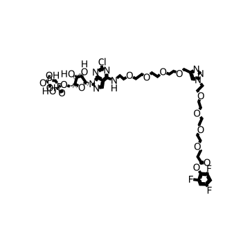 O=C(CCOCCOCCOCCOCCn1cc(COCCOCCOCCOCCNc2nc(Cl)nc3c2cnn3[C@@H]2O[C@H](COP(=O)(O)CP(=O)(O)O)[C@@H](O)[C@H]2O)nn1)Oc1c(F)cc(F)cc1F